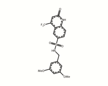 COc1cc(CNS(=O)(=O)c2ccc3[nH]c(=O)cc(C(F)(F)F)c3c2)cc(OC)c1